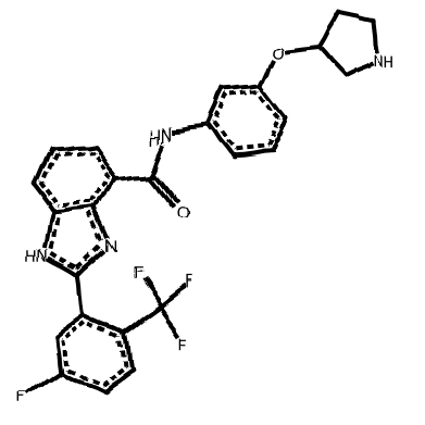 O=C(Nc1cccc(OC2CCNC2)c1)c1cccc2[nH]c(-c3cc(F)ccc3C(F)(F)F)nc12